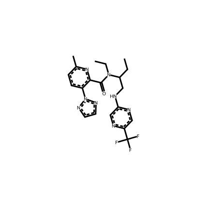 CCC(CNc1cnc(C(F)(F)F)cn1)N(CC)C(=O)c1nc(C)ccc1-n1nccn1